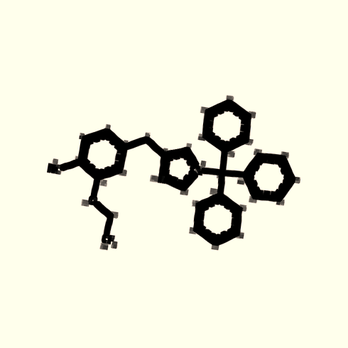 N#Cc1ccc(Cc2cn(C(c3ccccc3)(c3ccccc3)c3ccccc3)cn2)cc1OCC(F)(F)F